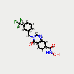 O=C(NO)c1ccc2c(=O)n(Cc3cccc(C(F)(F)F)c3)cnc2c1